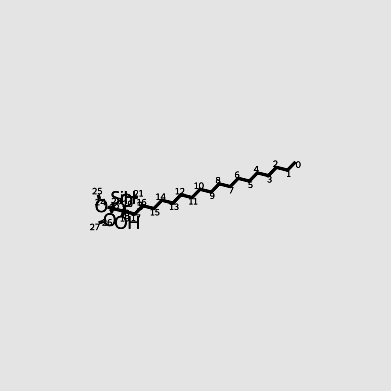 CCCCCCCCCCCCCCCCCCC(O)(OC)C([SiH3])(OC)OC